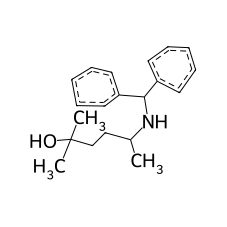 CC(CCC(C)(C)O)NC(c1ccccc1)c1ccccc1